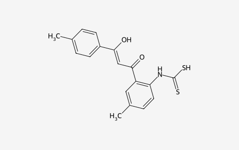 Cc1ccc(C(O)=CC(=O)c2cc(C)ccc2NC(=S)S)cc1